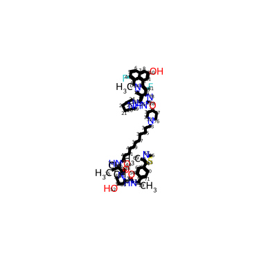 CCc1c(F)ccc2cc(O)cc(-c3ncc4c(N5CC6CCC(C5)N6)nc(OC5CCN(CCCCCCCCCCC(=O)N[C@H](C(=O)N6C[C@H](O)C[C@H]6C(=O)N[C@@H](C)c6ccc(-c7scnc7C)cc6)C(C)(C)C)CC5)nc4c3F)c12